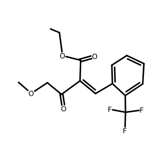 CCOC(=O)C(=Cc1ccccc1C(F)(F)F)C(=O)COC